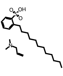 C=CCN(C)C.CCCCCCCCCCCCc1ccccc1S(=O)(=O)O